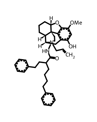 C=CC[N+]1(NC(=O)C(CCCCc2ccccc2)CCc2ccccc2)CC[C@]23c4c5c(O)cc(OC)c4O[C@H]2CCC[C@H]3[C@H]1C5